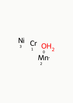 O.[Cr].[Mn].[Ni]